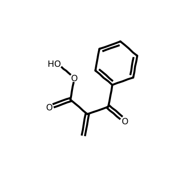 C=C(C(=O)OO)C(=O)c1ccccc1